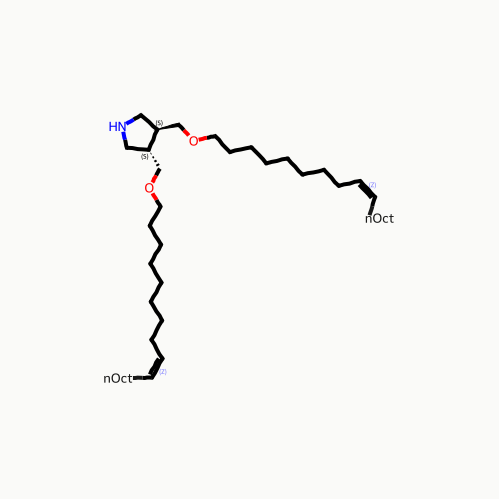 CCCCCCCC/C=C\CCCCCCCCOC[C@@H]1CNC[C@H]1COCCCCCCCC/C=C\CCCCCCCC